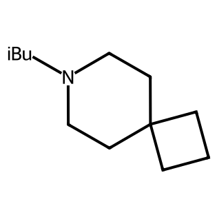 CCC(C)N1CCC2(CCC2)CC1